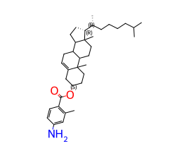 Cc1cc(N)ccc1C(=O)O[C@H]1CCC2(C)C(=CCC3C2CCC2(C)C3CC[C@@H]2[C@H](C)CCCCC(C)C)C1